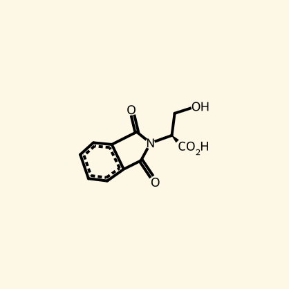 O=C(O)[C@H](CO)N1C(=O)c2ccccc2C1=O